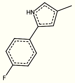 Cc1c[nH]c(-c2ccc(F)cc2)c1